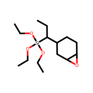 CCO[Si](OCC)(OCC)C(CC)C1CCC2OC2C1